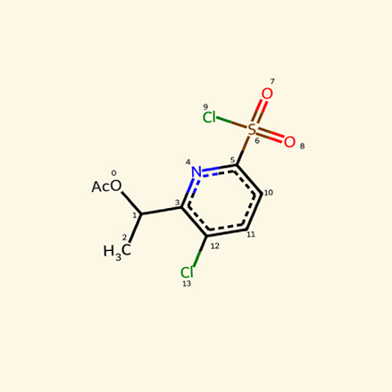 CC(=O)OC(C)c1nc(S(=O)(=O)Cl)ccc1Cl